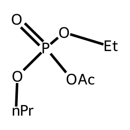 CCCOP(=O)(OCC)OC(C)=O